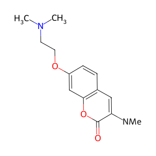 CNc1cc2ccc(OCCN(C)C)cc2oc1=O